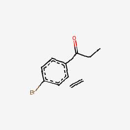 C=C.CCC(=O)c1ccc(Br)cc1